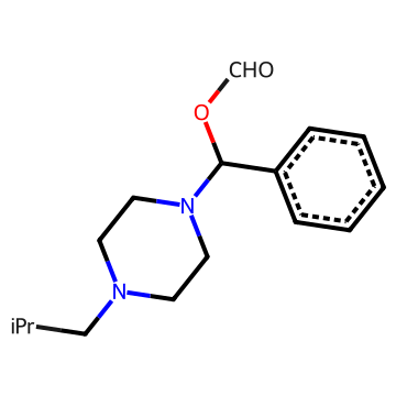 CC(C)CN1CCN(C(OC=O)c2ccccc2)CC1